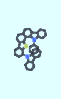 c1ccc(-n2c3ccccc3c3ccc4ccc5c6cccc(-n7c8ccccc8c8ccccc87)c6sc5c4c32)cc1